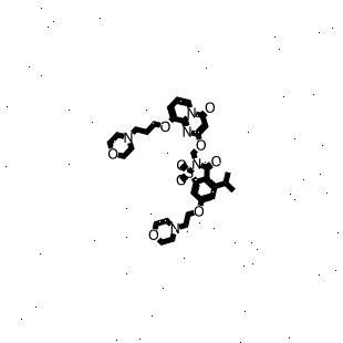 CC(C)c1cc(OCCN2CCOCC2)cc2c1C(=O)N(COc1cc(=O)n3cccc(OCCCN4CCOCC4)c3n1)S2(=O)=O